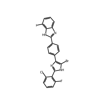 Fc1cccc(Cl)c1-c1nc(-c2ccc(-c3nc4cccc(I)c4[nH]3)cc2)c(Br)[nH]1